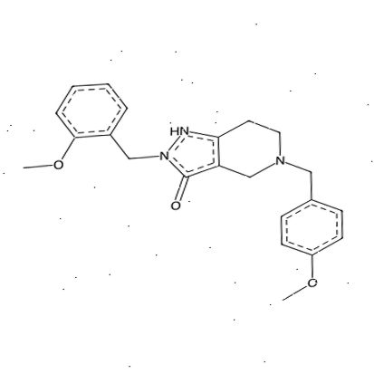 COc1ccc(CN2CCc3[nH]n(Cc4ccccc4OC)c(=O)c3C2)cc1